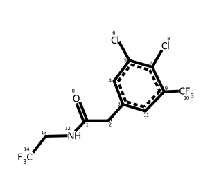 O=C([CH]c1cc(Cl)c(Cl)c(C(F)(F)F)c1)NCC(F)(F)F